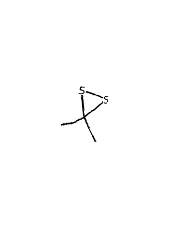 CC1(C)SS1